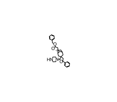 C[C@]1(CC(=O)OCc2ccccc2)CC2CC1CC(CCc1ccccc1)(C(=O)N1CCNCC1)C2